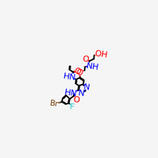 C=CC(=O)Nc1cc2c(NC(=O)c3ccc(Br)cc3F)ncnc2cc1OCCNC(=O)CCO